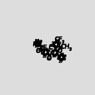 C[C@@H](O[C@H]1CCN(C(=O)C2CCN(C(=O)Cn3cnnn3)CC2)C[C@H]1c1ccccc1)c1cc(C(F)(F)F)cc(C(F)(F)F)c1